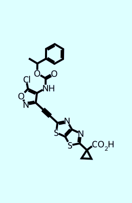 CC(OC(=O)Nc1c(C#Cc2nc3nc(C4(C(=O)O)CC4)sc3s2)noc1Cl)c1ccccc1